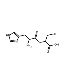 NC(Cc1c[nH]cn1)C(=O)NC(CS)C(=O)O